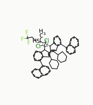 C[SiH](CCC(F)(F)F)[Zr]([Cl])([Cl])([CH]1C(CC2CCCCC2)=Cc2c(-c3cccc4ccccc34)cccc21)[CH]1C(CC2CCCCC2)=Cc2c(-c3cccc4ccccc34)cccc21